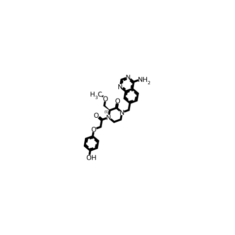 COC[C@H]1C(=O)N(Cc2ccc3c(N)ncnc3c2)CCN1C(=O)COc1ccc(O)cc1